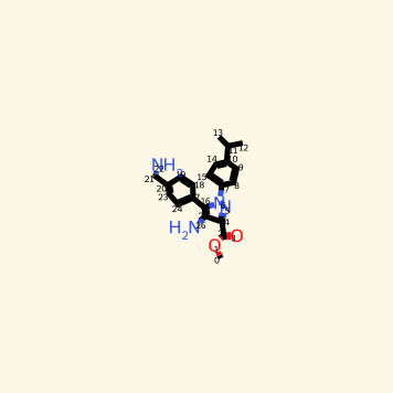 COC(=O)c1nn(-c2ccc(C(C)C)cc2)c(-c2ccc(CN)cc2)c1N